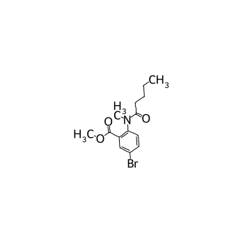 CCCCC(=O)N(C)c1ccc(Br)cc1C(=O)OC